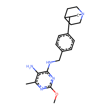 COc1nc(C)c(N)c(NCc2ccc(C3CN4CCC3CC4)cc2)n1